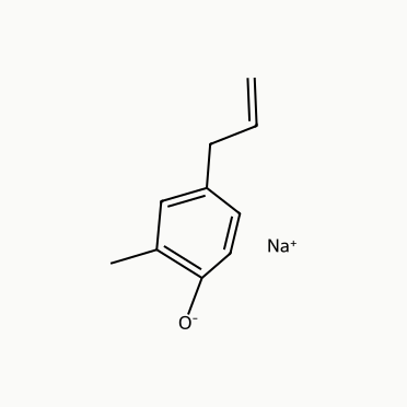 C=CCc1ccc([O-])c(C)c1.[Na+]